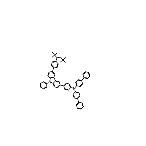 CC(C)(C)CC(c1ccc(-c2ccc3c(c2)c2cc(-c4ccc(N(c5ccc(-c6ccccc6)cc5)c5ccc(-c6ccccc6)cc5)cc4)ccc2n3-c2ccccc2)cc1)C(C)(C)C